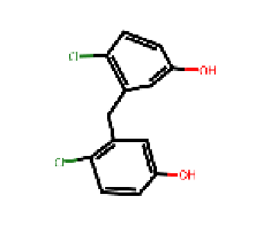 Oc1ccc(Cl)c(Cc2cc(O)ccc2Cl)c1